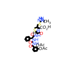 CC(=O)Oc1cccc(C(=O)NC(=O)NC(C(=O)NC2C(=O)N3C(C(=O)O)=C(CSc4nnnn4C)CS[C@@H]23)c2ccccc2)c1OC(C)=O